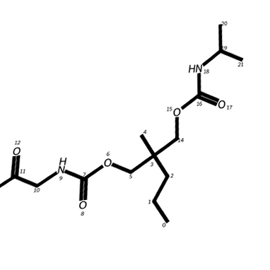 CCCC(C)(COC(=O)NCC(=O)O)COC(=O)NC(C)C